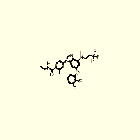 CCNC(=O)c1ccc(-n2cnc3c(NCCC(F)(F)F)cc(Oc4cccc(F)c4F)cc32)cc1C